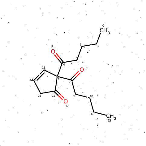 CCCCC(=O)C1(C(=O)CCCC)C=CCC1=O